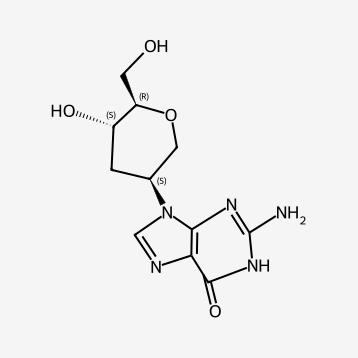 Nc1nc2c(ncn2[C@@H]2CO[C@H](CO)[C@@H](O)C2)c(=O)[nH]1